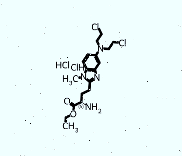 CCOC(=O)[C@@H](N)CCc1nc2cc(N(CCCl)CCCl)ccc2n1C.Cl.Cl